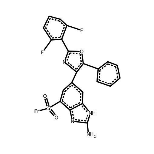 CC(C)S(=O)(=O)c1cc(-c2nc(-c3c(F)cccc3F)oc2-c2ccccc2)cc2[nH]c(N)nc12